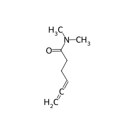 C=C=CCCC(=O)N(C)C